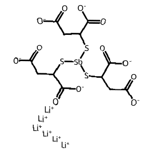 O=C([O-])CC([S][Sb]([S]C(CC(=O)[O-])C(=O)[O-])[S]C(CC(=O)[O-])C(=O)[O-])C(=O)[O-].[Li+].[Li+].[Li+].[Li+].[Li+].[Li+]